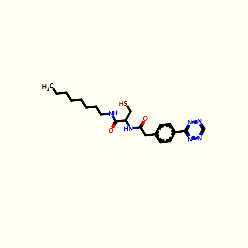 CCCCCCCCNC(=O)C(CS)NC(=O)Cc1ccc(-c2nncnn2)cc1